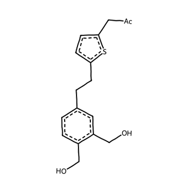 CC(=O)Cc1ccc(CCc2ccc(CO)c(CO)c2)s1